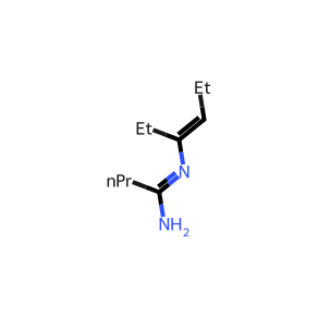 CC/C=C(CC)/N=C(/N)CCC